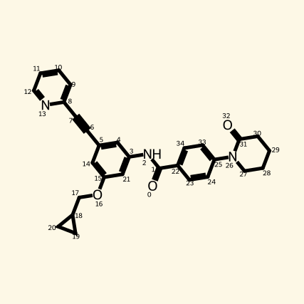 O=C(Nc1cc(C#Cc2ccccn2)cc(OCC2CC2)c1)c1ccc(N2CCCCC2=O)cc1